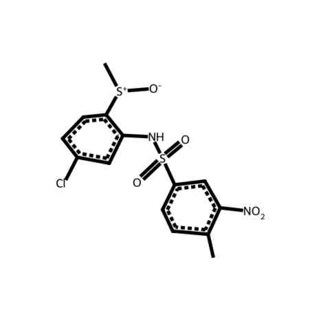 Cc1ccc(S(=O)(=O)Nc2cc(Cl)ccc2[S+](C)[O-])cc1[N+](=O)[O-]